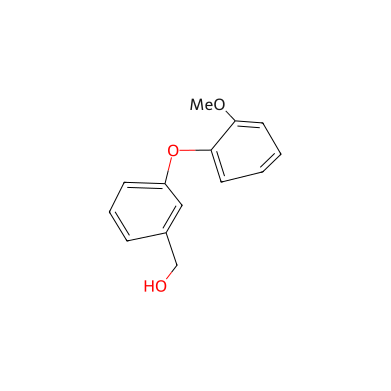 COc1ccccc1Oc1cccc(CO)c1